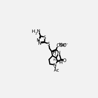 CC(=O)N1CCC2C(CSc3nnc(N)s3)=C(C(=O)[O-])N3C(=O)[C@@H]1[C@@H]23.[Na+]